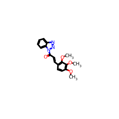 COc1ccc(/C=C/C(=O)n2nnc3ccccc32)c(OC)c1OC